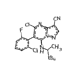 CC(Nc1c(-c2c(F)cccc2Cl)c(Cl)nc2c(C#N)cnn12)C(C)(C)C